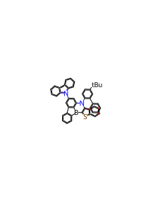 CC(C)(C)c1ccc(N2c3cc(-n4c5ccccc5c5ccccc54)cc4c3B(c3ccccc3-4)c3sc4ccccc4c32)c(-c2ccccc2)c1